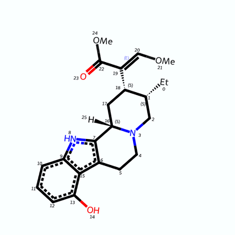 CC[C@@H]1CN2CCc3c([nH]c4cccc(O)c34)[C@@H]2C[C@@H]1/C(=C\OC)C(=O)OC